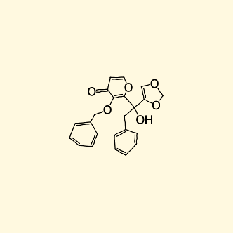 O=c1ccoc(C(O)(Cc2ccccc2)C2=COCO2)c1OCc1ccccc1